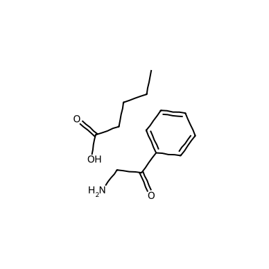 CCCCC(=O)O.NCC(=O)c1ccccc1